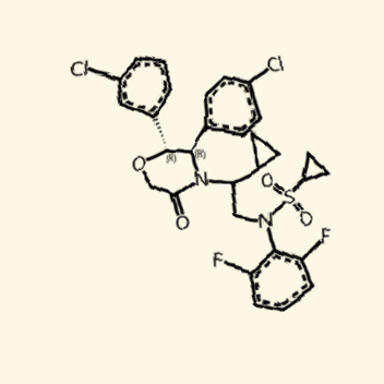 O=C1CO[C@H](c2cccc(Cl)c2)[C@@H](c2ccc(Cl)cc2)N1C(CN(c1c(F)cccc1F)S(=O)(=O)C1CC1)C1CC1